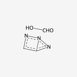 O=CO.c1nn2nc1-2